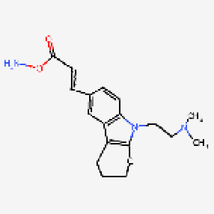 CN(C)CCn1c2c(c3cc(/C=C/C(=O)ON)ccc31)CCCC2